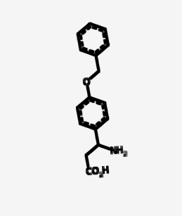 NC(CC(=O)O)c1ccc(OCc2ccccc2)cc1